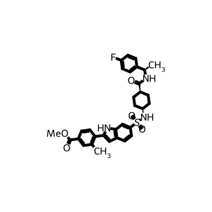 COC(=O)c1ccc(-c2cc3ccc(S(=O)(=O)N[C@H]4CC[C@H](C(=O)N[C@H](C)c5ccc(F)cc5)CC4)cc3[nH]2)c(C)c1